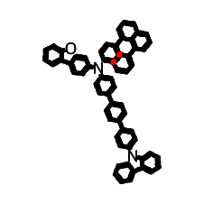 c1ccc(-c2cccc3cccc(-c4ccc(N(c5ccc(-c6ccc(-c7ccc(-n8c9ccccc9c9ccccc98)cc7)cc6)cc5)c5ccc6c(c5)oc5ccccc56)cc4)c23)cc1